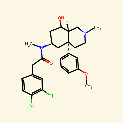 COc1cccc([C@@]23CCN(C)C[C@H]2C(O)C[C@H](N(C)C(=O)Cc2ccc(Cl)c(Cl)c2)C3)c1